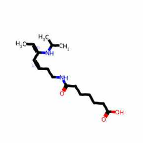 C/C=C(\C=C/CCNC(=O)CCCCCC(=O)O)NC(C)C